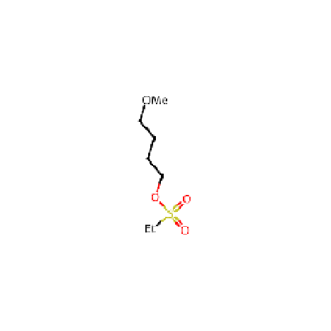 CCS(=O)(=O)OCCCCOC